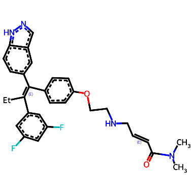 CC/C(=C(/c1ccc(OCCNC/C=C/C(=O)N(C)C)cc1)c1ccc2[nH]ncc2c1)c1cc(F)cc(F)c1